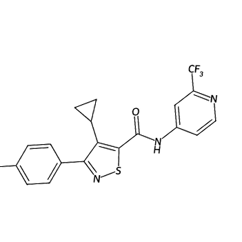 O=C(Nc1ccnc(C(F)(F)F)c1)c1snc(-c2ccc(F)cc2)c1C1CC1